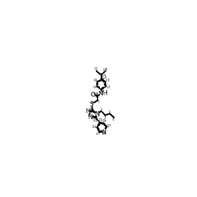 CCCCn1c(SCC(=O)Nc2ccc(C(C)C)cc2)nnc1-c1ccncc1